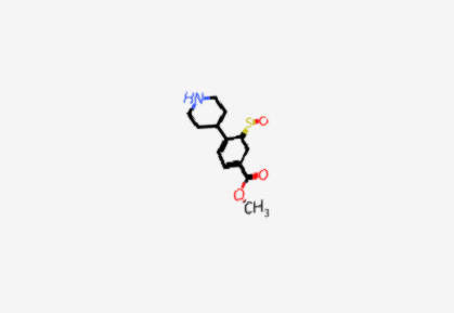 COC(=O)C1=CC=C(C2CCNCC2)C(=S=O)C1